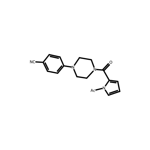 CC(=O)n1cccc1C(=O)N1CCN(c2ccc(C#N)cc2)CC1